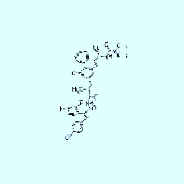 C=C(C)C(=O)NC(=O)/C(=C/c1cc(Cl)cc(/C=C(\C)C(=O)NC(=O)/C(=C/c2ccc(Cl)cc2)c2ccc(F)cc2F)c1)c1ccccc1